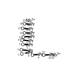 CC(C)[O-].CC(C)[O-].CC(C)[O-].CC(C)[O-].CC(C)[O-].CC(C)[O-].CC(C)[O-].CC(C)[O-].CC(C)[O-].CC(C)[O-].[Nb+5].[Nb+5]